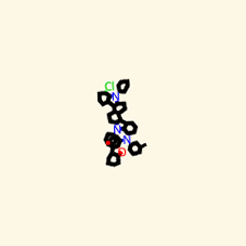 Cc1cccc(N(c2cccc3c2oc2ccccc23)c2cccc3c4c5ccc6c(c5ccc4n(-c4ccccc4)c23)c2cccc(Cl)c2n6-c2ccccc2)c1